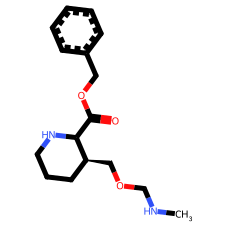 CNCOC[C@H]1CCCNC1C(=O)OCc1ccccc1